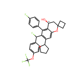 O[C@H]1CC2(CCC2)Oc2cc(C3CCCC3)c(C(F)c3ccc(OC(F)(F)F)cc3)c(-c3ccc(F)cc3)c21